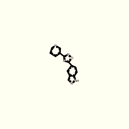 c1cncc(-c2noc(-c3ccc4[nH]ncc4c3)n2)c1